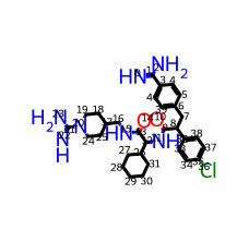 N=C(N)c1ccc(CC(C(=O)NC(C(=O)NCC2CCN(C(=N)N)CC2)C2CCCCC2)c2ccc(Cl)cc2)cc1